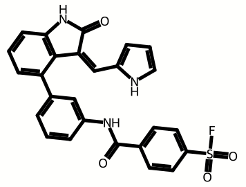 O=C1Nc2cccc(-c3cccc(NC(=O)c4ccc(S(=O)(=O)F)cc4)c3)c2C1=Cc1ccc[nH]1